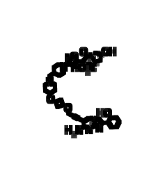 CC(C)[C@@H](C(=O)N1C[C@H](O)C[C@H]1C(=O)O)c1cc(N2CCC(CN3CCC(O[C@H]4C[C@H](OCC#Cc5cn6cc(-c7ccccc7O)nc6nc5N)C4)CC3)CC2)no1